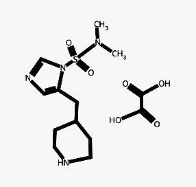 CN(C)S(=O)(=O)n1cncc1CC1CCNCC1.O=C(O)C(=O)O